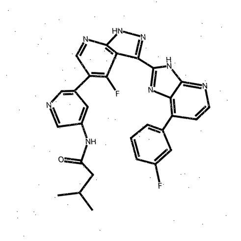 CC(C)CC(=O)Nc1cncc(-c2cnc3[nH]nc(-c4nc5c(-c6cccc(F)c6)ccnc5[nH]4)c3c2F)c1